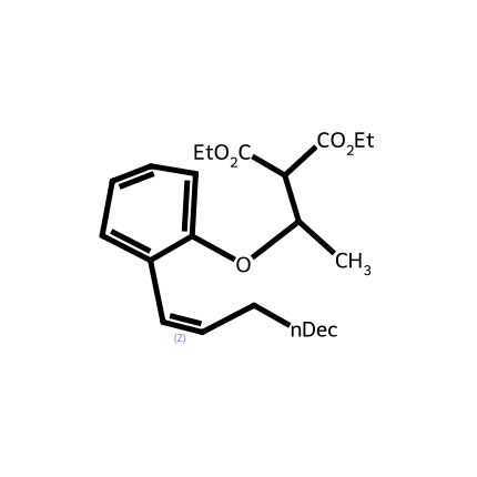 CCCCCCCCCCC/C=C\c1ccccc1OC(C)C(C(=O)OCC)C(=O)OCC